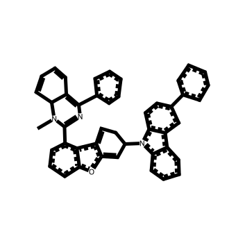 CN1C(c2cccc3oc4c(c23)=CCC(n2c3ccccc3c3cc(-c5ccccc5)ccc32)C=4)=NC(c2ccccc2)=C2C=CC=CC21